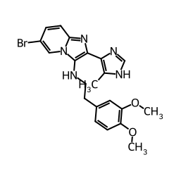 COc1ccc(CCNc2c(-c3nc[nH]c3C)nc3ccc(Br)cn23)cc1OC